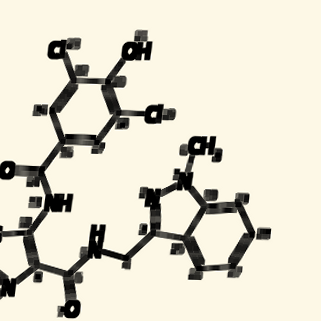 Cn1nc(CNC(=O)c2ncsc2NC(=O)c2cc(Cl)c(O)c(Cl)c2)c2ccccc21